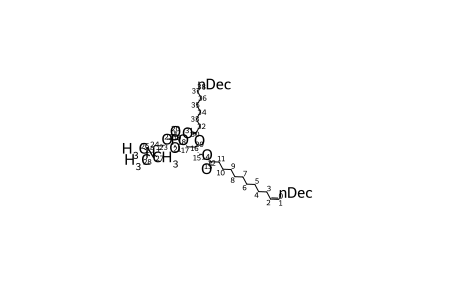 CCCCCCCCCC/C=C\CCCCCCCCCC(=O)OC[C@H](COP(=O)([O-])OCC[N+](C)(C)C)OC(=O)CCCCCCCCCCCCCCCC